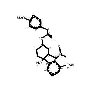 COc1ccc(CC(=O)OC2CCC(O)(c3cccc(OC)c3)C(CN(C)C)C2)cc1